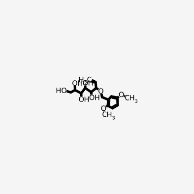 C=CC(OCc1cc(OC)ccc1OC)C(O)C(O)C(O)C(O)CO